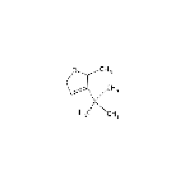 CC1OCC=C1C(C)(C)C